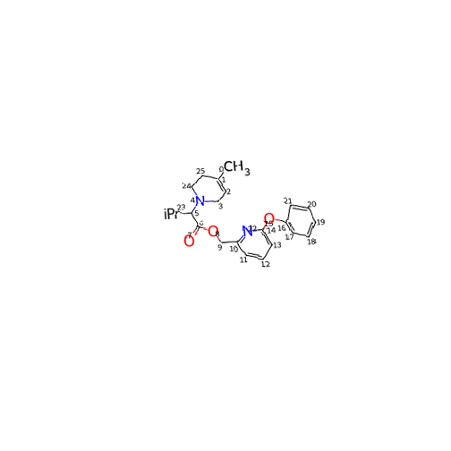 CC1=CCN(C(C(=O)OCc2cccc(Oc3ccccc3)n2)C(C)C)CC1